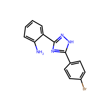 Nc1ccccc1-c1n[nH]c(-c2ccc(Br)cc2)n1